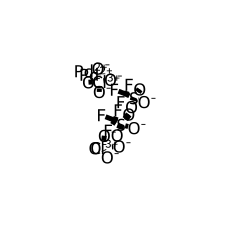 O=S(=O)([O-])C(F)(F)F.O=S(=O)([O-])C(F)(F)F.[O-][Cl+3]([O-])([O-])[O-].[O-][Cl+3]([O-])([O-])[O-].[Pd+2].[Pd+2]